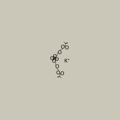 C=C(C)C(=O)OCCOCCOP(=O)([O-])OCCOCCOC(=O)C(=C)C.[K+]